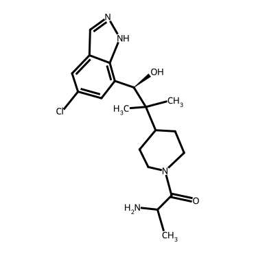 CC(N)C(=O)N1CCC(C(C)(C)[C@H](O)c2cc(Cl)cc3cn[nH]c23)CC1